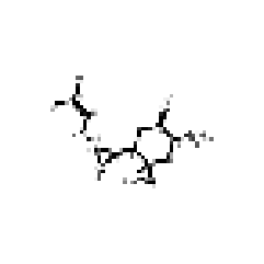 BC1CC2(CO2)C(C2O[C@@H]2CC=C(C)C)CC1=O